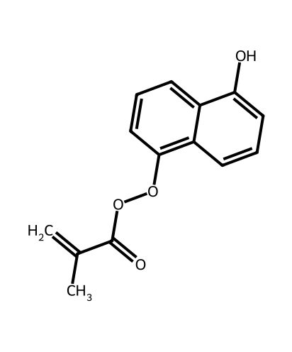 C=C(C)C(=O)OOc1cccc2c(O)cccc12